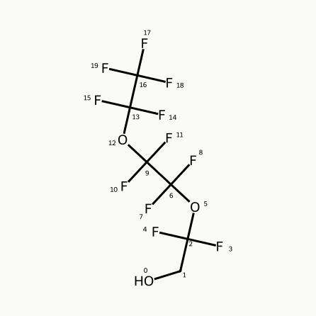 OCC(F)(F)OC(F)(F)C(F)(F)OC(F)(F)C(F)(F)F